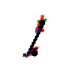 CCN(CCCCCCCCCCCCNC(=O)c1cc2cc(F)c(O)c(F)c2oc1=O)S(=O)(=O)c1ccccc1[N+](=O)[O-]